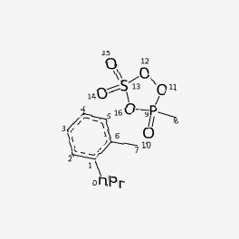 CCCc1ccccc1C.CP1(=O)OOS(=O)(=O)O1